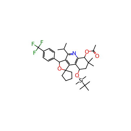 CC(=O)OC1c2nc(C(C)C)c3c(c2C(O[Si](C)(C)C(C)(C)C)CC1(C)C)C1(CCCC1)OC3c1ccc(C(F)(F)F)cc1